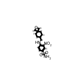 NS(=O)(=O)c1ccc(NCC2CCC3(CC2)COC3)c([N+](=O)[O-])c1